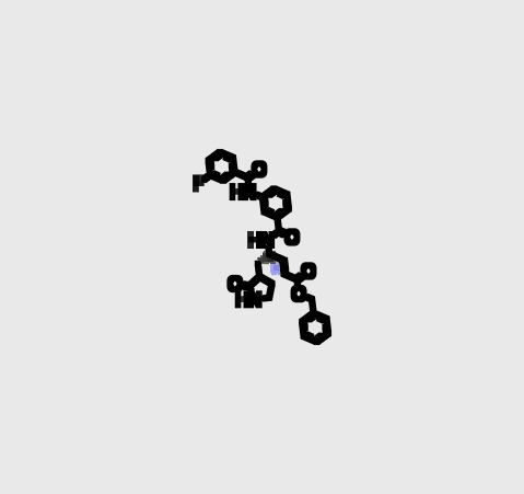 O=C(/C=C/[C@H](CC1CCNC1=O)NC(=O)c1cccc(NC(=O)c2cccc(F)c2)c1)OCc1ccccc1